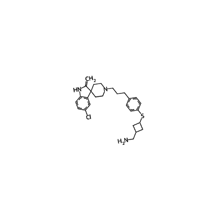 C=C1Nc2ccc(Cl)cc2C12CCN(CCCc1ccc(SC3CC(CN)C3)cc1)CC2